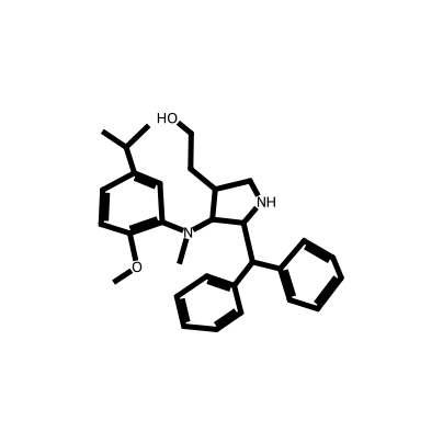 COc1ccc(C(C)C)cc1N(C)C1C(CCO)CNC1C(c1ccccc1)c1ccccc1